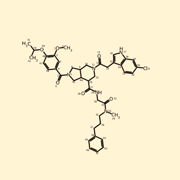 COc1cc(C(=O)N2CC3CN(C(=O)Cc4c[nH]c5cc(Cl)ccc45)CC(C(=O)NCC(=O)N(C)CCCc4ccccc4)C3C2)ccc1OC(C)C